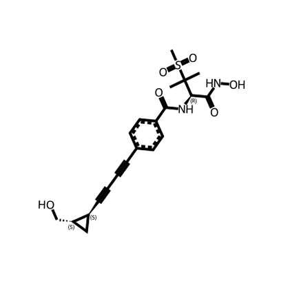 CC(C)([C@H](NC(=O)c1ccc(C#CC#C[C@H]2C[C@@H]2CO)cc1)C(=O)NO)S(C)(=O)=O